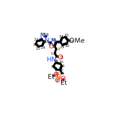 CCOP(=O)(Cc1ccc(NC(=O)CCc2oc(-n3cnc4ccccc43)nc2-c2ccc(OC)cc2)cc1)OCC